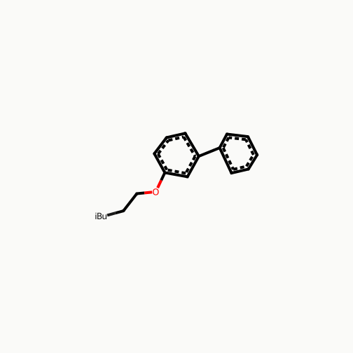 CCC(C)CCOc1cccc(-c2ccccc2)c1